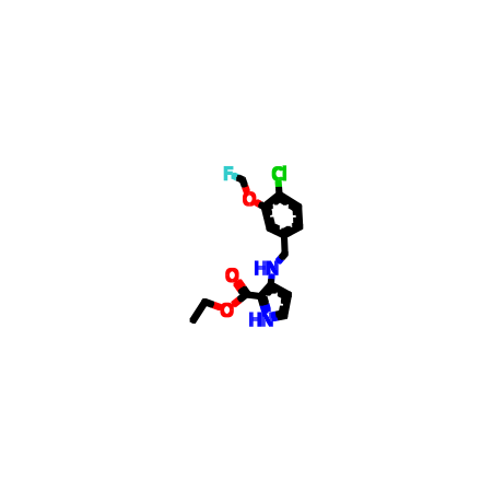 CCOC(=O)c1[nH]ccc1NCc1ccc(Cl)c(OCF)c1